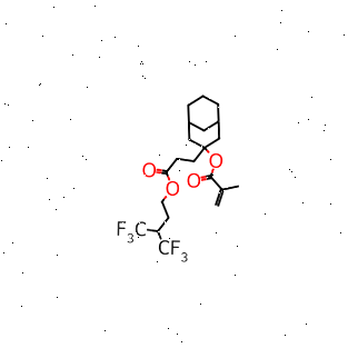 C=C(C)C(=O)OC1(CCC(=O)OCCC(C(F)(F)F)C(F)(F)F)CC2CCCC(C2)C1